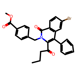 CCCC(=O)c1c(-c2ccccc2)c2cc(Br)ccc2c(=O)n1Cc1ccc(C(=O)OC)cc1